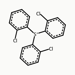 Clc1ccccc1[S+](c1ccccc1Cl)c1ccccc1Cl